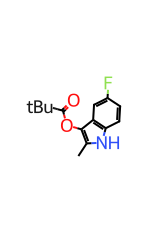 Cc1[nH]c2ccc(F)cc2c1OC(=O)C(C)(C)C